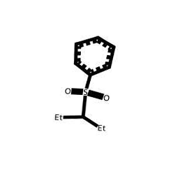 CCC(CC)S(=O)(=O)c1ccccc1